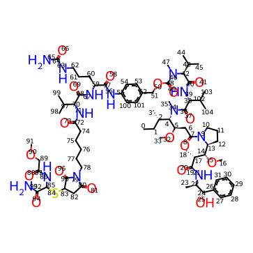 CC[C@H](C)[C@@H]([C@@H](CC(=O)N1CCC[C@H]1[C@H](OC)[C@@H](C)C(=O)N[C@H](C)[C@@H](O)c1ccccc1)OC)N(C)C(=O)[C@H](NC(=O)[C@H](C(C)C)N(C)C(=O)OCc1ccc(NC(=O)[C@H](CCCNC(N)=O)NC(=O)[C@@H](NC(=O)CCCCCN2C(=O)CC(SC(NC(=O)COC)C(N)=O)C2=O)C(C)C)cc1)C(C)C